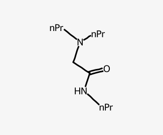 CCCNC(=O)CN(CCC)CCC